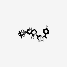 CC(N/C=C(\C=N)N1CCc2ncc(B3OC(C)(C)C(C)(C)O3)cc2C1=O)c1ccc(F)cc1